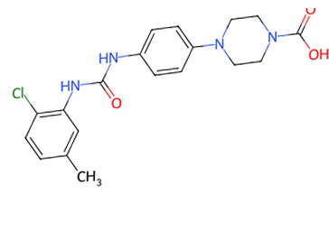 Cc1ccc(Cl)c(NC(=O)Nc2ccc(N3CCN(C(=O)O)CC3)cc2)c1